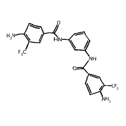 Nc1ccc(C(=O)Nc2cccc(NC(=O)c3ccc(N)c(C(F)(F)F)c3)c2)cc1C(F)(F)F